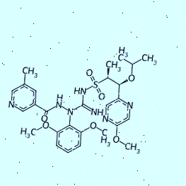 COc1cnc([C@H](OC(C)C)[C@H](C)S(=O)(=O)NC(=N)N(NC(=O)c2cncc(C)c2)c2c(OC)cccc2OC)cn1